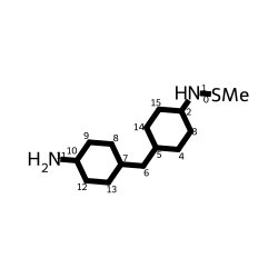 CSNC1CCC(CC2CCC(N)CC2)CC1